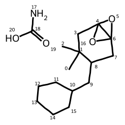 CC1(C)CC23OC2(CC1CC1CCCCC1)O3.NC(=O)O